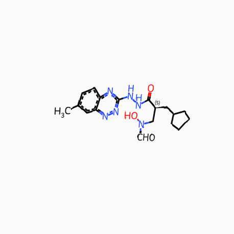 Cc1ccc2nc(NNC(=O)[C@@H](CC3CCCC3)CN(O)C=O)nnc2c1